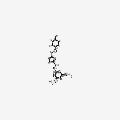 Cc1ccc(OCc2nc(CSc3nc(N)cc(N)n3)cs2)cc1